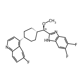 CO[C@@H](c1nc2cc(F)c(F)cc2[nH]1)[C@H]1CC[C@@H](c2ccnc3ccc(F)cc32)CC1